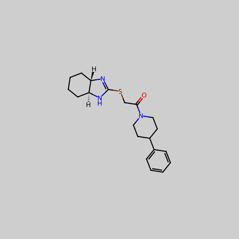 O=C(CSC1=N[C@H]2CCCC[C@@H]2N1)N1CCC(c2ccccc2)CC1